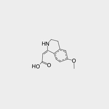 COc1ccc2c(c1)CCN/C2=C/C(=O)O